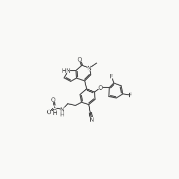 Cn1cc(-c2cc(CCN[SH](=O)=O)c(C#N)cc2Oc2ccc(F)cc2F)c2cc[nH]c2c1=O